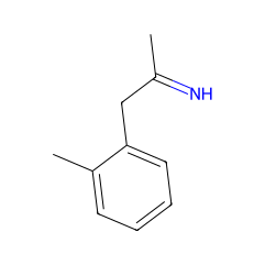 CC(=N)Cc1ccccc1C